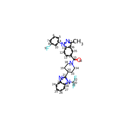 Cc1nn(-c2cccc(F)c2)c2ccc(C(=O)N3CCC(c4nc5ccccc5n4C(F)F)CC3)cc12